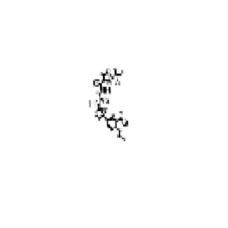 CCCc1ccc(-c2csc(NC(=O)CNC(=O)c3ccn(C(C)(C)C)c3)n2)cc1C(C)=O